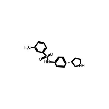 O=S(=O)(Nc1ccc([C@@H]2CCNC2)cc1)c1cccc(C(F)(F)F)c1